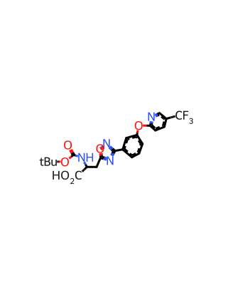 CC(C)(C)OC(=O)NC(Cc1nc(-c2cccc(Oc3ccc(C(F)(F)F)cn3)c2)no1)C(=O)O